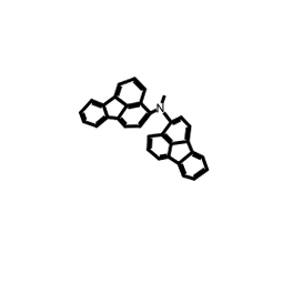 CN(c1ccc2c3c(cccc13)-c1ccccc1-2)c1ccc2c3c(cccc13)-c1ccccc1-2